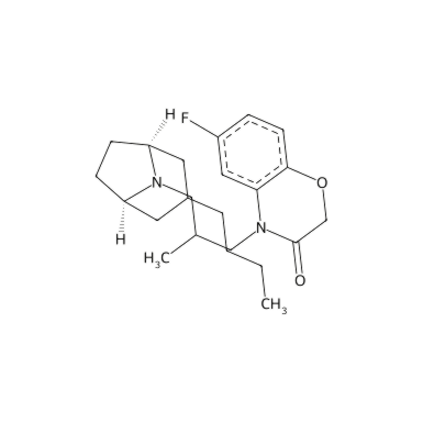 CCCCC1C[C@H]2CC[C@@H](C1)N2CC(C)CN1C(=O)COc2ccc(F)cc21